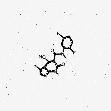 Cc1csc2c1c(O)c(C(=O)N(C)c1cc(F)ccc1F)c(=O)n2C